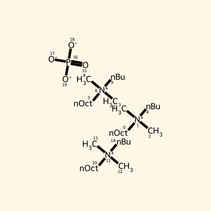 CCCCCCCC[N+](C)(C)CCCC.CCCCCCCC[N+](C)(C)CCCC.CCCCCCCC[N+](C)(C)CCCC.O=P([O-])([O-])[O-]